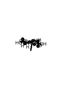 CCCCCCCC(c1ccccc1)n1c2cc(NC(=O)[C@@H]3CCCN3C(=O)C(NC(=O)O)c3ccccc3)ccc2c2ccc(NC(=O)[C@@H]3CCCN3C(=O)C(NC(=O)O)c3ccccc3)cc21